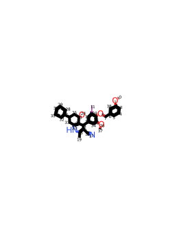 COc1cccc(COc2c(I)cc(C3C(C#N)=C(C)NC4=C3C(=O)CC(c3ccccc3)C4)cc2OC)c1